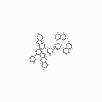 c1ccc(-c2cccc3c2c2cc4ccccc4cc2n3-c2ccc(-c3nc(-c4cccc5ccccc45)nc(-c4cccc5ccccc45)n3)cc2-c2ccc3sc4ccccc4c3c2)cc1